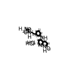 Cl.Cl.NS(=O)(=O)NCCc1cccc(Nc2ccnc3[nH]c(=O)ccc23)c1